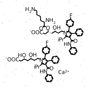 CC(C)c1c(C(=O)Nc2ccccc2)c(-c2ccccc2)c(-c2ccc(F)cc2)n1CC[C@@H](O)C[C@@H](O)CC(=O)[O-].CC(C)c1c(C(=O)Nc2ccccc2)c(-c2ccccc2)c(-c2ccc(F)cc2)n1CC[C@@H](O)C[C@H](CC(=O)[O-])OC(=O)[C@@H](N)CCCCN.[Ca+2]